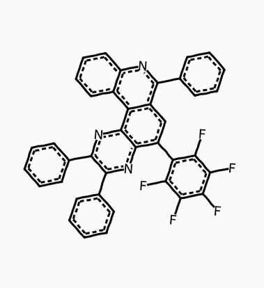 Fc1c(F)c(F)c(-c2cc3c(-c4ccccc4)nc4ccccc4c3c3nc(-c4ccccc4)c(-c4ccccc4)nc23)c(F)c1F